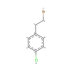 Clc1c[c]c(CCBr)cc1